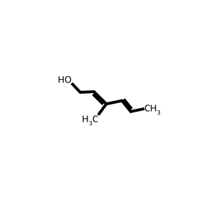 C/C=C/C(C)=C/CO